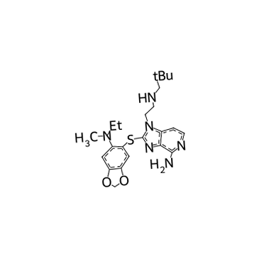 CCN(C)c1cc2c(cc1Sc1nc3c(N)nccc3n1CCNCC(C)(C)C)OCO2